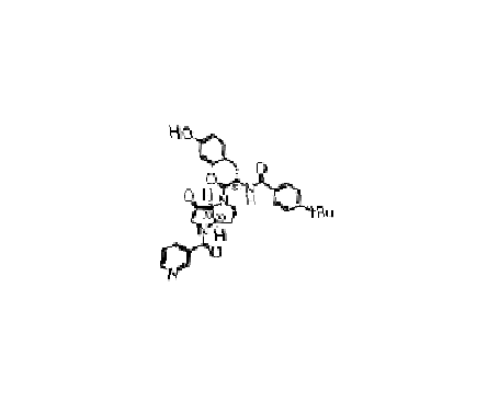 CC(C)(C)c1ccc(C(=O)N[C@@H](Cc2ccc(O)cc2)C(=O)N2CC[C@@H]3[C@H]2C(=O)CN3C(=O)c2cccnc2)cc1